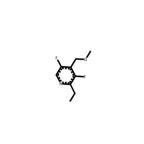 CCc1ncc(F)c(COC)c1F